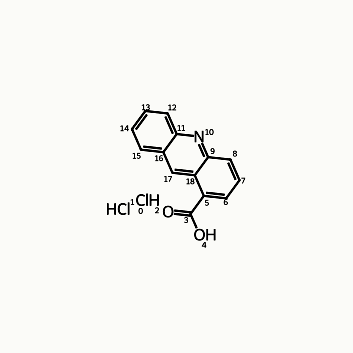 Cl.Cl.O=C(O)c1cccc2nc3ccccc3cc12